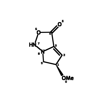 CO[C@@H]1C=C2C(=O)ONN2C1